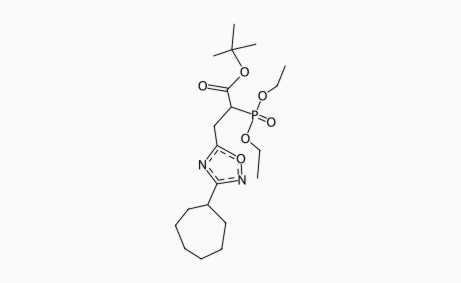 CCOP(=O)(OCC)C(Cc1nc(C2CCCCCC2)no1)C(=O)OC(C)(C)C